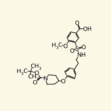 COc1ccc(C(=O)O)cc1S(=O)(=O)NCCc1ccc(OC2CCN(C(=O)OC(C)(C)C)CC2)cc1